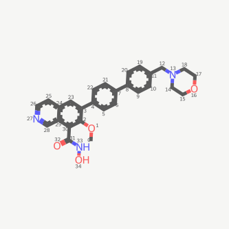 COc1c(-c2ccc(-c3ccc(CN4CCOCC4)cc3)cc2)cc2ccncc2c1C(=O)NO